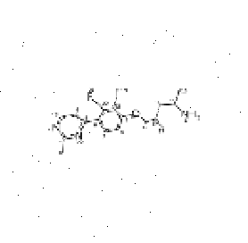 Cc1nccc(-c2ccc(OCC(C)CC(C)N)c(F)c2F)n1